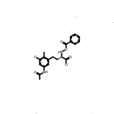 CC(=O)Nc1cc(F)c(C)c(CC[C@@H](NOC(=O)c2ccccc2)C(=O)Cl)c1